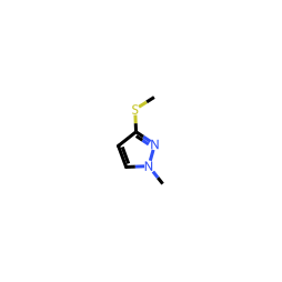 CSc1ccn(C)n1